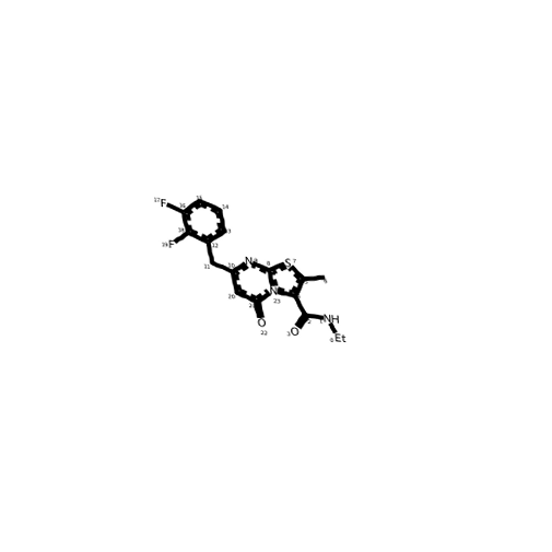 CCNC(=O)c1c(C)sc2nc(Cc3cccc(F)c3F)cc(=O)n12